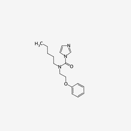 CCCCCN(CCOc1ccccc1)C(=O)n1ccnc1